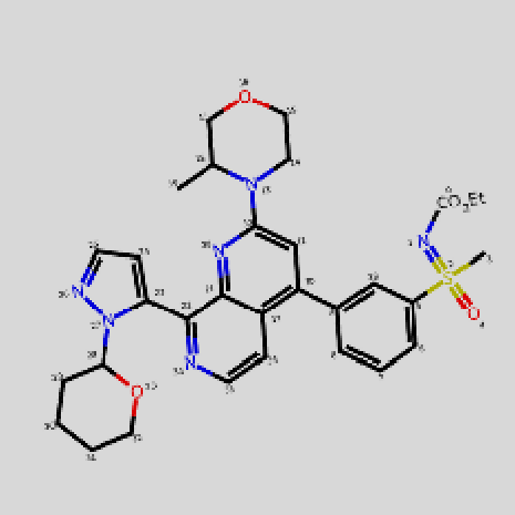 CCOC(=O)N=S(C)(=O)c1cccc(-c2cc(N3CCOCC3C)nc3c(-c4ccnn4C4CCCCO4)nccc23)c1